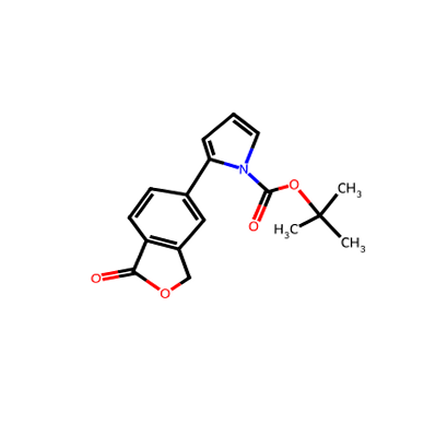 CC(C)(C)OC(=O)n1cccc1-c1ccc2c(c1)COC2=O